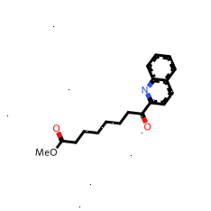 COC(=O)CCCCCCC(=O)c1ccc2ccccc2n1